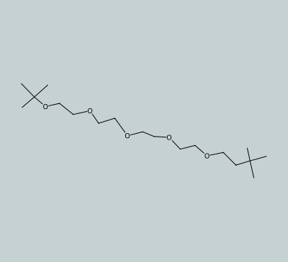 CC(C)(C)CCOCCOCCOCCOCCOC(C)(C)C